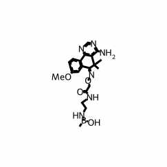 COc1ccc2c(c1)/C(=N\OCC(=O)NCCNB(C)O)C(C)(C)c1c(N)ncnc1-2